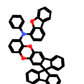 c1ccc(N(c2cccc3c2Oc2cc4c(cc2O3)C2(c3ccccc3-c3ccccc32)c2ccccc2-4)c2cccc3c2oc2ccccc23)cc1